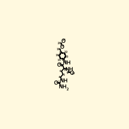 NC(=O)NCCCC(NC=O)C(=O)Nc1ccc(COC=O)cc1